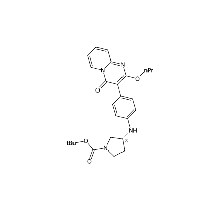 CCCOc1nc2ccccn2c(=O)c1-c1ccc(N[C@@H]2CCN(C(=O)OC(C)(C)C)C2)cc1